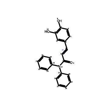 O=C(/C=C/c1ccc(O)c(O)c1)N(c1ccccc1)c1ccccc1